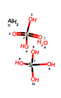 O.O=S(=O)(O)O.O[Si](O)(O)O.[AlH3]